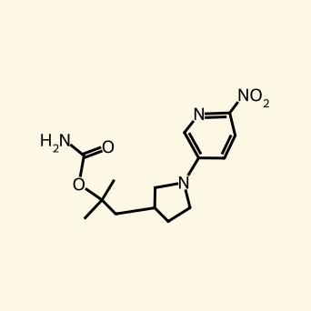 CC(C)(CC1CCN(c2ccc([N+](=O)[O-])nc2)C1)OC(N)=O